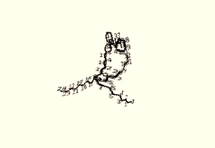 CCCCCCCC[P+](CCCCCCCC)(CCCCCCCC)CCCCCCCC.O=[PH]([O-])c1ccccc1